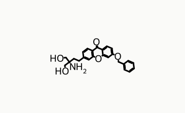 NC(CO)(CO)CCc1ccc2c(=O)c3ccc(OCc4ccccc4)cc3oc2c1